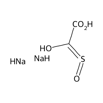 O=S=C(O)C(=O)O.[NaH].[NaH]